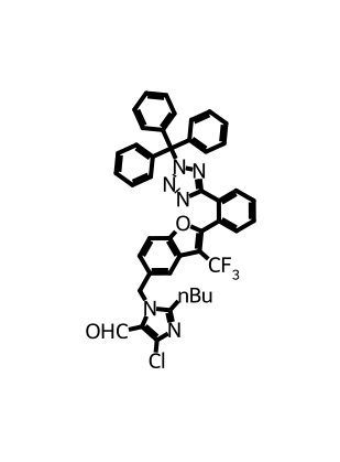 CCCCc1nc(Cl)c(C=O)n1Cc1ccc2oc(-c3ccccc3-c3nnn(C(c4ccccc4)(c4ccccc4)c4ccccc4)n3)c(C(F)(F)F)c2c1